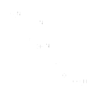 O=C(O)COc1ccccc1OC1CCN(CC(O)(c2cn(Cc3ccccc3)c3cc([N+](=O)[O-])ccc23)C(F)(F)F)CC1